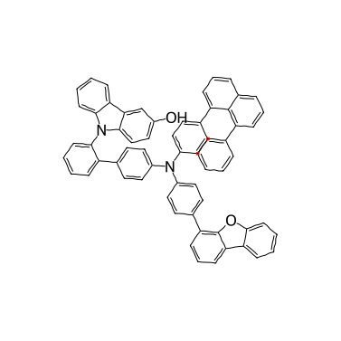 Oc1ccc2c(c1)c1ccccc1n2-c1ccccc1-c1ccc(N(c2ccc(-c3cccc4c3oc3ccccc34)cc2)c2ccc(-c3cccc4cccc(-c5ccccc5)c34)cc2)cc1